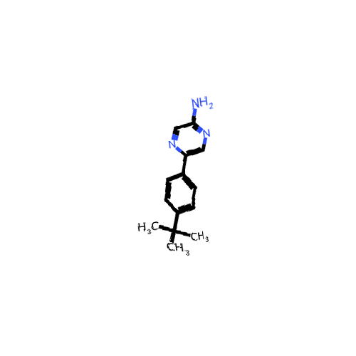 CC(C)(C)c1ccc(-c2cnc(N)cn2)cc1